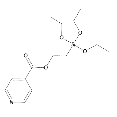 CCO[Si](CCOC(=O)c1ccncc1)(OCC)OCC